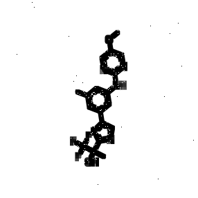 COc1cnc(Nc2cc(C)cc(-c3cnc(C(C)(O)C(F)(F)F)s3)c2)nc1